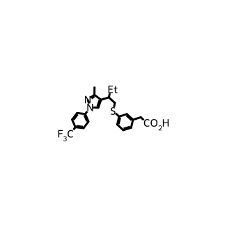 CCC(CSc1cccc(CC(=O)O)c1)c1cn(-c2ccc(C(F)(F)F)cc2)nc1C